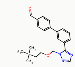 C[Si](C)(C)CCOCn1ncnc1-c1cccc(-c2ccc(C=O)cc2)c1